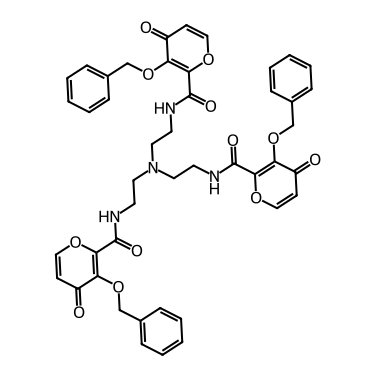 O=C(NCCN(CCNC(=O)c1occc(=O)c1OCc1ccccc1)CCNC(=O)c1occc(=O)c1OCc1ccccc1)c1occc(=O)c1OCc1ccccc1